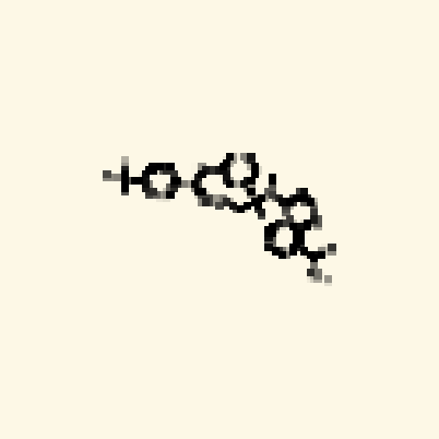 CN(c1ncnc2c(C(N)=O)cccc12)C(C)(CN)c1cccc(NC(=O)c2ccc(C(F)(F)F)cc2)c1